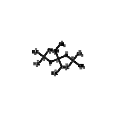 CC[Si](NC)(O[Si](C)(C)C)O[Si](C)(C)C